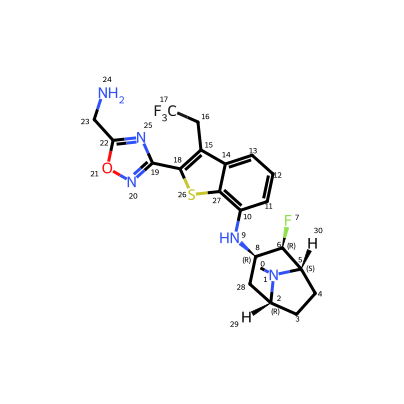 CN1[C@@H]2CC[C@H]1[C@H](F)[C@H](Nc1cccc3c(CC(F)(F)F)c(-c4noc(CN)n4)sc13)C2